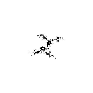 C=CC(=O)OCOc1ccc(OC(=O)c2ccc(OCOC(=O)C=C)c(OCOC(=O)C=C)c2)cc1OCOC(=O)C=C